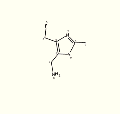 Cc1nc(CF)c(CN)s1